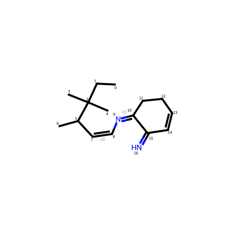 CCC(C)(C)C(C)/C=C\N=C1\CCC=CC1=N